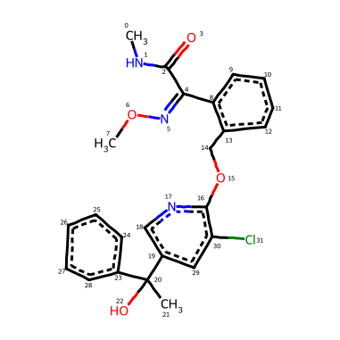 CNC(=O)C(=NOC)c1ccccc1COc1ncc(C(C)(O)c2ccccc2)cc1Cl